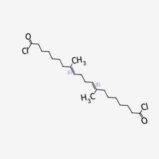 C/C(=C\CC/C=C(\C)CCCCCCC(=O)Cl)CCCCCCC(=O)Cl